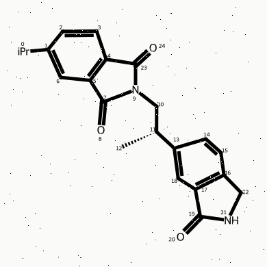 CC(C)c1ccc2c(c1)C(=O)N(C[C@@H](C)c1ccc3c(c1)C(=O)NC3)C2=O